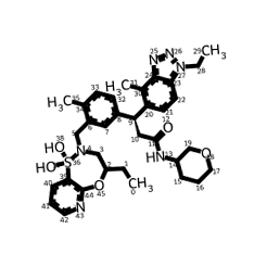 CCC1CN(Cc2cc([C@H](CC(=O)NC3CCCOC3)c3ccc4c(nnn4CC)c3C)ccc2C)S(O)(O)c2cccnc2O1